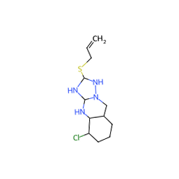 C=CCSC1NC2NC3C(Cl)CCCC3CN2N1